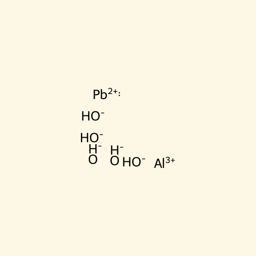 [Al+3].[OH-].[OH-].[OH-].[OH-].[OH-].[Pb+2]